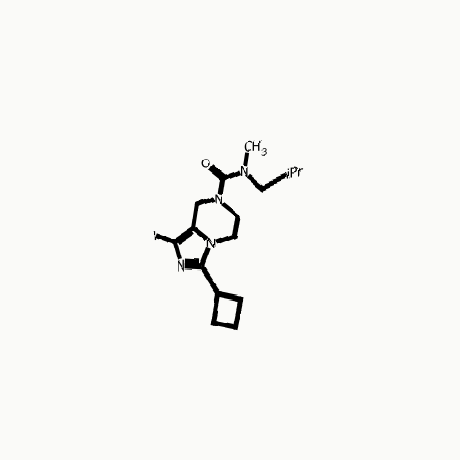 CC(C)CN(C)C(=O)N1CCn2c(C3CCC3)nc(I)c2C1